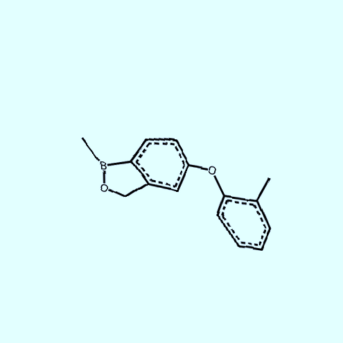 CB1OCc2cc(Oc3ccccc3C)ccc21